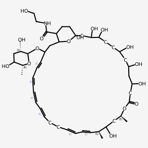 C[C@H]1CC(O)[C@@H](C)/C=C/C=C/CC/C=C/C=C/C=C/C=C/C(OC2O[C@H](C)C(O)C[C@@H]2O)CC2OC(O)(CCC2C(=O)NCCO)CC(O)C(O)CCC(O)CC(O)CC(O)CC(=O)O1